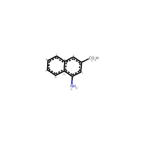 Nc1cc(C(=O)O)cc2ccccc12